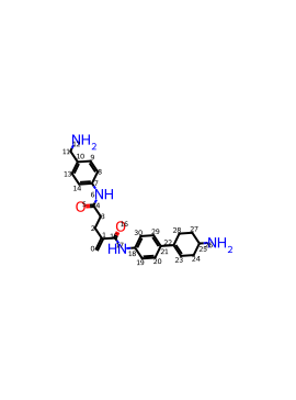 C=C(CCC(=O)Nc1ccc(CN)cc1)C(=O)Nc1ccc(C2=CCC(N)CC2)cc1